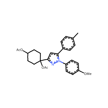 COc1ccc(-n2nc(C3(OC(C)=O)CCC(OC(C)=O)CC3)cc2-c2ccc(C)cc2)cc1